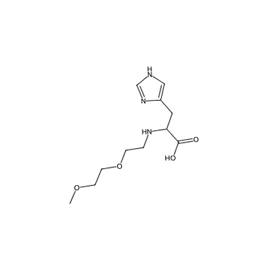 COCCOCCNC(Cc1c[nH]cn1)C(=O)O